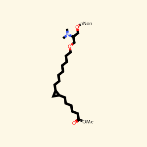 CCCCCCCCCOCC(COCCCCCCCCC1CC1CCCCCC(=O)OC)N(C)C